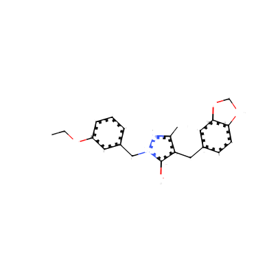 O=C(O)COc1cccc(Cn2nc(C(F)(F)F)c(Cc3ccc4c(c3)OCO4)c2O)c1